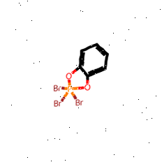 BrP1(Br)(Br)Oc2ccccc2O1